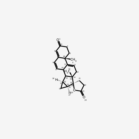 C[C@]12CCC(=O)C=C1C=CC1C2=CC[C@@]2(C)C1[C@@H]1C[C@@H]1[C@@]21CCC(=O)O1